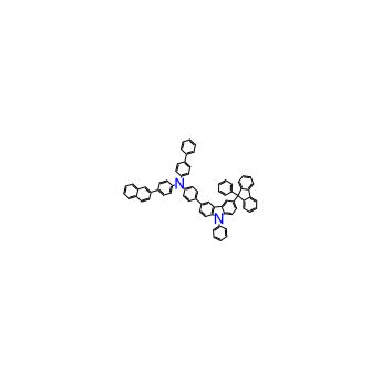 c1ccc(-c2ccc(N(c3ccc(-c4ccc5ccccc5c4)cc3)c3ccc(-c4ccc5c(c4)c4cc(C6(c7ccccc7)c7ccccc7-c7ccccc76)ccc4n5-c4ccccc4)cc3)cc2)cc1